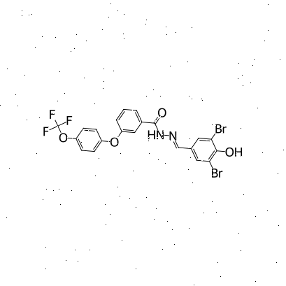 O=C(N/N=C/c1cc(Br)c(O)c(Br)c1)c1cccc(Oc2ccc(OC(F)(F)F)cc2)c1